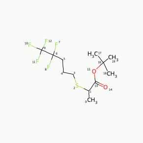 CC(SCCCC(F)(F)C(F)(F)F)C(=O)OC(C)(C)C